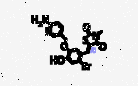 CN1C(=O)S/C(=C\c2cc(OCc3ccc(N)nc3)c(O)cc2Br)C1=O